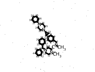 CN(C)Cc1cc[c]cc1.CN1CCN(Cc2cc[c]cc2)CC1.[c]1ccc(N2CCN(C3CC3)CC2)cc1.[c]1ccccc1